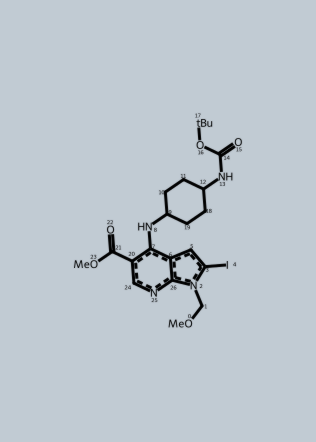 COCn1c(I)cc2c(NC3CCC(NC(=O)OC(C)(C)C)CC3)c(C(=O)OC)cnc21